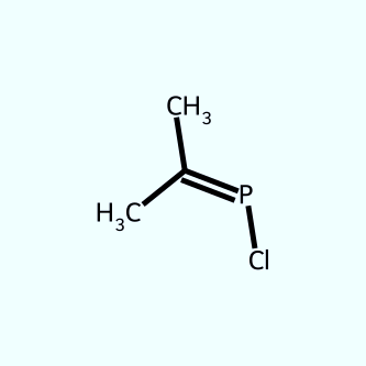 CC(C)=PCl